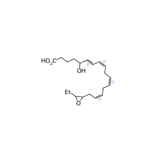 CCC1OC1C/C=C\C/C=C\C/C=C\C=C\C(O)CCCC(=O)O